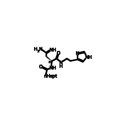 CCCCCCCC(=O)N[C@H](CC(=N)N)C(=O)NCCc1c[nH]cn1